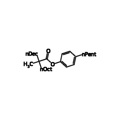 CCCCCCCCCCC(C)(CCCCCCCC)C(=O)Oc1ccc(CCCCC)cc1